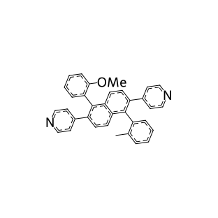 COc1ccccc1-c1c(-c2ccncc2)ccc2c(-c3ccccc3C)c(-c3ccncc3)ccc12